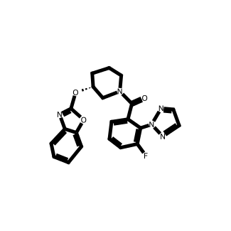 O=C(c1cccc(F)c1-n1nccn1)N1CCC[C@@H](Oc2nc3ccccc3o2)C1